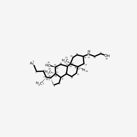 CC(=O)CC[C@@H](C)[C@H]1CCC2C3CC[C@@H]4CC(NCCO)CC[C@]4(C)C3C[C@H](O)[C@@]21C